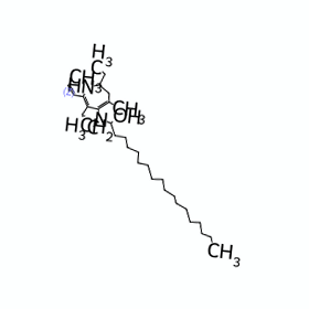 C=CC1=C(/C=C\C)NC(CC)CC(C)=C1N(C)C(O)CCCCCCCCCCCCCCCCC